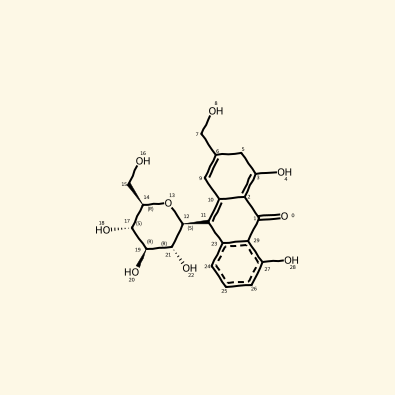 O=C1C2=C(O)CC(CO)=CC2=C([C@@H]2O[C@H](CO)[C@@H](O)[C@H](O)[C@H]2O)c2cccc(O)c21